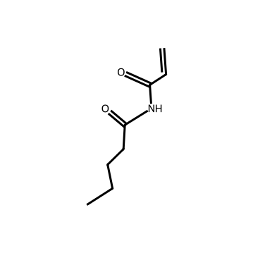 C=CC(=O)NC(=O)CCCC